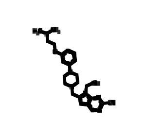 CN(C)CCOc1cccc(N2CCN(Cc3cc4cnc(C#N)nc4n3CC(C)(C)C)CC2)c1